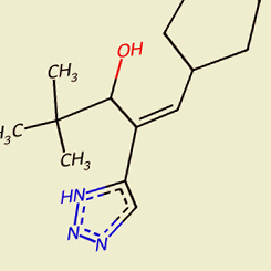 CC(C)(C)C(O)C(=CC1CCCCC1)c1cnn[nH]1